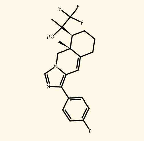 CC(O)([C@H]1CCCC2=Cc3c(-c4ccc(F)cc4)ncn3C[C@@]21C)C(F)(F)F